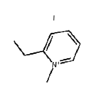 CCc1cccc[n+]1C.[I-]